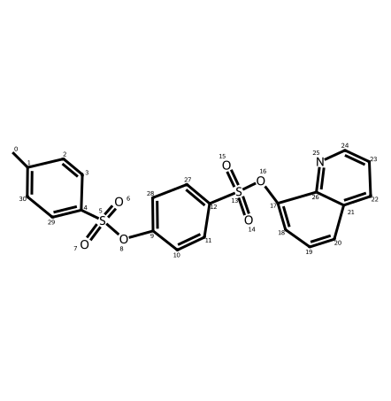 Cc1ccc(S(=O)(=O)Oc2ccc(S(=O)(=O)Oc3cccc4cccnc34)cc2)cc1